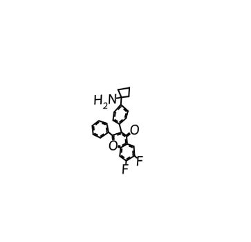 NC1(c2ccc(-c3c(-c4ccccc4)oc4cc(F)c(F)cc4c3=O)cc2)CCC1